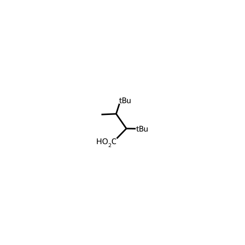 CC(C(C(=O)O)C(C)(C)C)C(C)(C)C